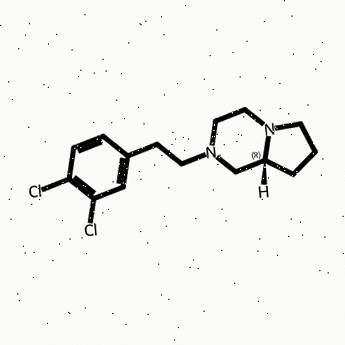 Clc1ccc(CCN2CCN3CCC[C@@H]3C2)cc1Cl